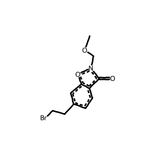 COCn1oc2cc(CCBr)ccc2c1=O